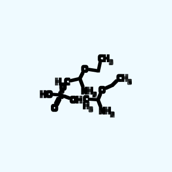 CCOC(C)N.CCOC(C)N.O=S(=O)(O)O